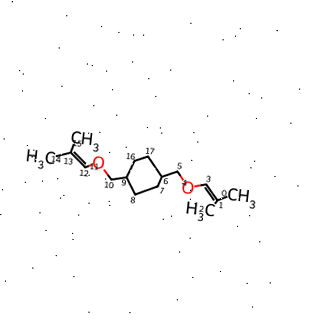 CC(C)=COCC1CCC(COC=C(C)C)CC1